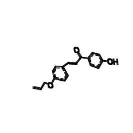 C=CCOc1ccc(C=CC(=O)c2ccc(O)cc2)cc1